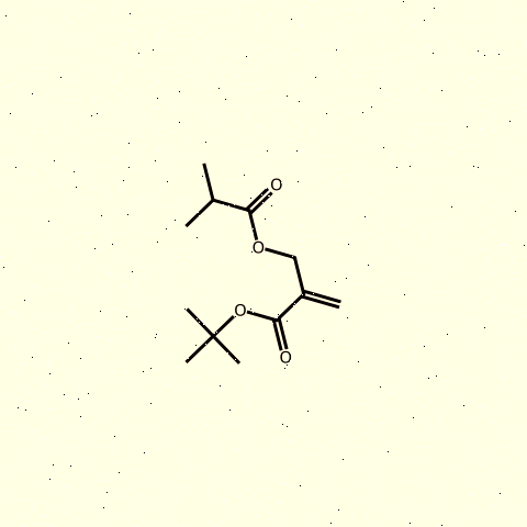 C=C(COC(=O)C(C)C)C(=O)OC(C)(C)C